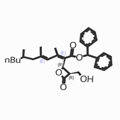 CCCCC(C)C/C(C)=C/C(C)=C(/C(=O)OC(c1ccccc1)c1ccccc1)[C@@H]1OC(=O)[C@@H]1CO